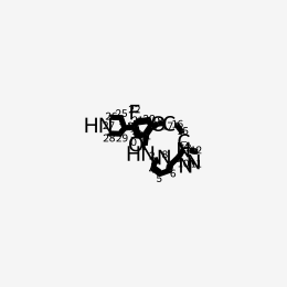 O=C1Nc2cccc(n2)-c2nncn2CCCCOc2cc(F)c(C3CCNCC3)cc21